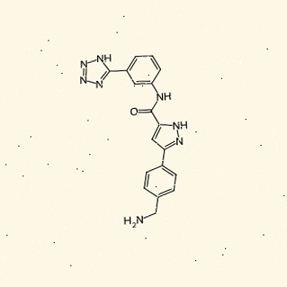 NCc1ccc(-c2cc(C(=O)Nc3cccc(-c4nnn[nH]4)c3)[nH]n2)cc1